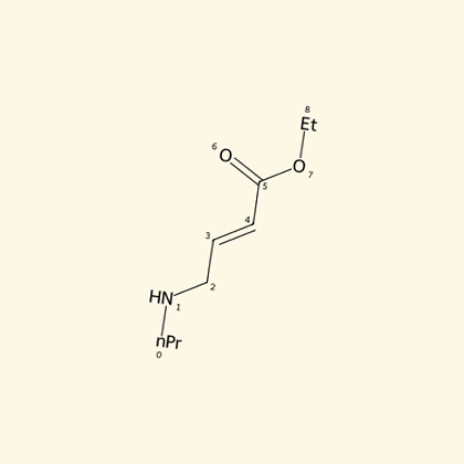 CCCNC/C=C/C(=O)OCC